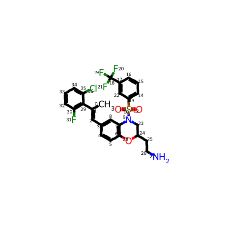 CC(=Cc1ccc2c(c1)N(S(=O)(=O)c1cccc(C(F)(F)F)c1)CC(CCN)O2)c1c(F)cccc1Cl